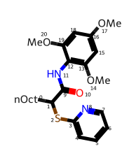 CCCCCCCCC(Sc1ccccn1)C(=O)Nc1c(OC)cc(OC)cc1OC